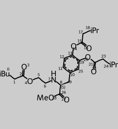 CCC(C)CC(=O)OCCN[C@@H](Cc1ccc(OC(=O)CC(C)C)c(OC(=O)CC(C)C)c1)C(=O)OC